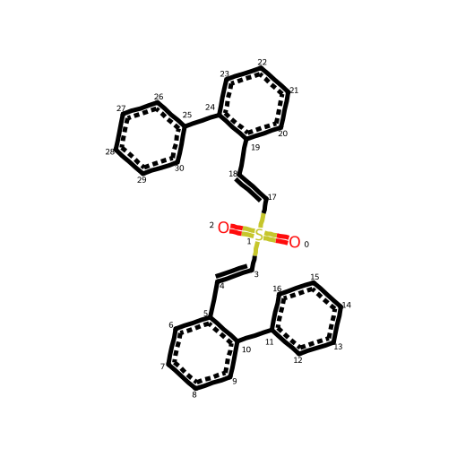 O=S(=O)(/C=C/c1ccccc1-c1ccccc1)/C=C/c1ccccc1-c1ccccc1